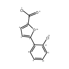 O=C(Cl)c1ccc(-c2ccccc2Cl)o1